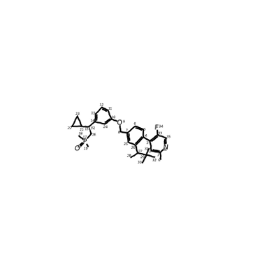 Cc1cc(-c2ccc(COc3cccc([C@@H](CP(C)(C)=O)C4CC4)c3)cc2C(C)C(C)(C)C)c(F)cn1